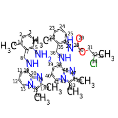 Cc1cccc(N)c1CNc1cccn2c(C)c(C)nc12.Cc1cccc(NC(=O)OCC(C)Cl)c1CNc1cccn2c(C)c(C)nc12